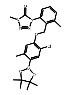 Cc1cc(OCc2c(C)cccc2-n2nnn(C)c2=O)c(Cl)cc1B1OC(C)(C)C(C)(C)O1